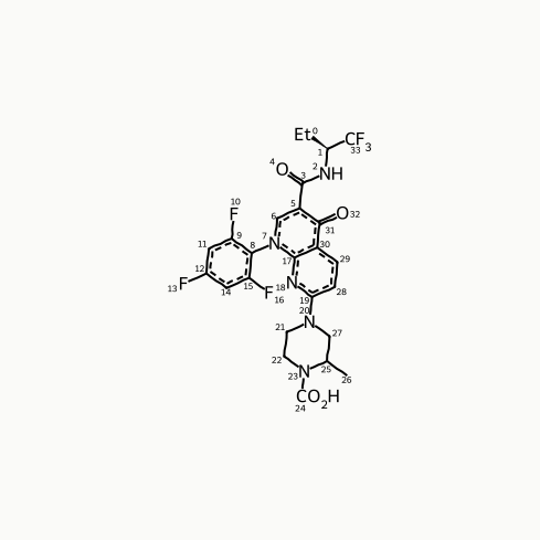 CC[C@H](NC(=O)c1cn(-c2c(F)cc(F)cc2F)c2nc(N3CCN(C(=O)O)C(C)C3)ccc2c1=O)C(F)(F)F